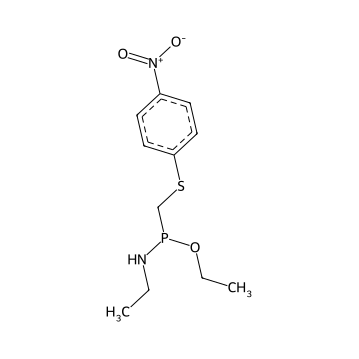 CCNP(CSc1ccc([N+](=O)[O-])cc1)OCC